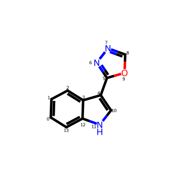 c1ccc2c(-c3nnco3)c[nH]c2c1